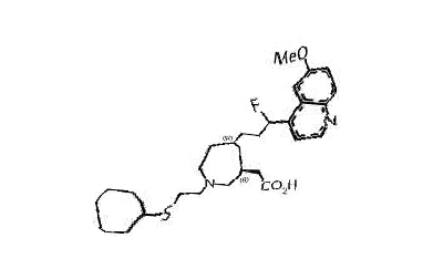 COc1ccc2nccc(C(F)CC[C@@H]3CCN(CCSC4CCCCC4)C[C@@H]3CC(=O)O)c2c1